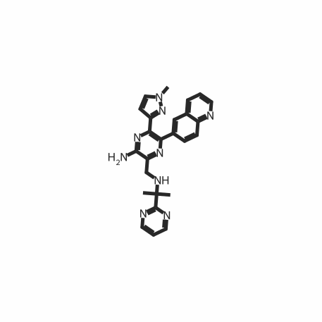 Cn1ccc(-c2nc(N)c(CNC(C)(C)c3ncccn3)nc2-c2ccc3ncccc3c2)n1